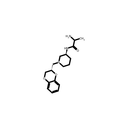 CC(N)C(=O)N[C@H]1CCCN(C[C@H]2COc3ccccc3O2)C1